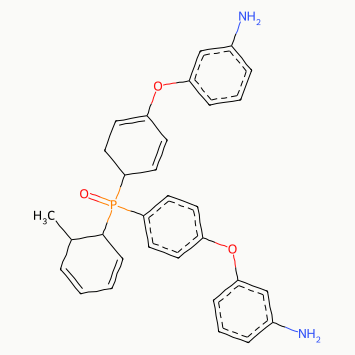 CC1C=CC=CC1P(=O)(c1ccc(Oc2cccc(N)c2)cc1)C1C=CC(Oc2cccc(N)c2)=CC1